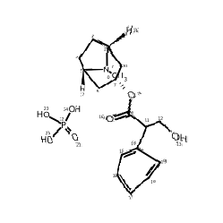 CN1[C@@H]2CC[C@H]1C[C@@H](OC(=O)C(CO)c1ccccc1)C2.O=P(O)(O)O